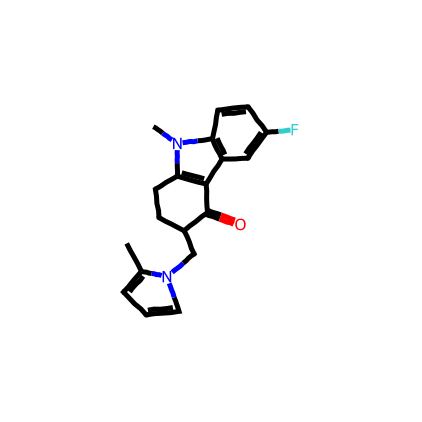 Cc1cccn1CC1CCc2c(c3cc(F)ccc3n2C)C1=O